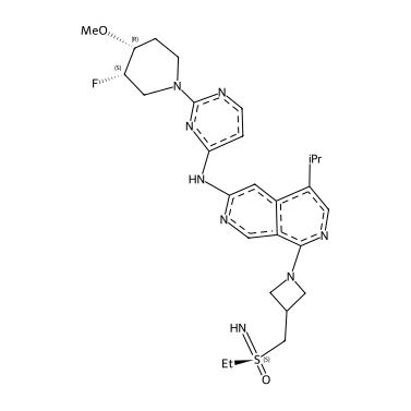 CC[S@](=N)(=O)CC1CN(c2ncc(C(C)C)c3cc(Nc4ccnc(N5CC[C@@H](OC)[C@@H](F)C5)n4)ncc23)C1